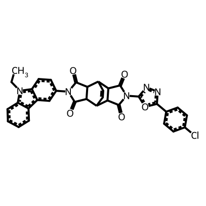 CCn1c2ccccc2c2cc(N3C(=O)C4C5C=CC(C4C3=O)C3C(=O)N(c4nnc(-c6ccc(Cl)cc6)o4)C(=O)C53)ccc21